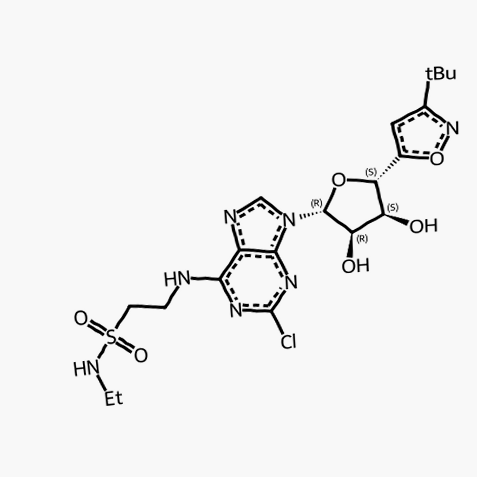 CCNS(=O)(=O)CCNc1nc(Cl)nc2c1ncn2[C@@H]1O[C@H](c2cc(C(C)(C)C)no2)[C@@H](O)[C@H]1O